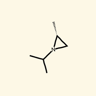 CC(C)N1C[C@H]1C